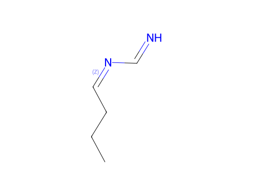 CCC/C=N\C=N